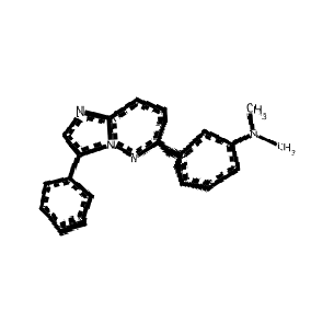 CN(C)c1cccc(-c2ccc3ncc(-c4c[c]ccc4)n3n2)c1